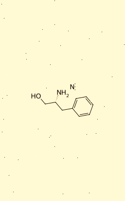 N[C@@H](CO)Cc1ccccc1.[N]